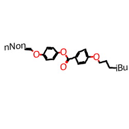 CCCCCCCCCC=COc1ccc(OC(=O)c2ccc(OCCCC(C)CC)cc2)cc1